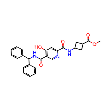 COC(=O)C1CC(NC(=O)c2cc(O)c(C(=O)NC(c3ccccc3)c3ccccc3)cn2)C1